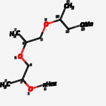 CCCCCCOC(C)COC(C)COC(C)COC